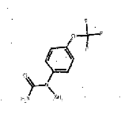 NC(=O)N(N)c1ccc(OC(F)(F)F)cc1